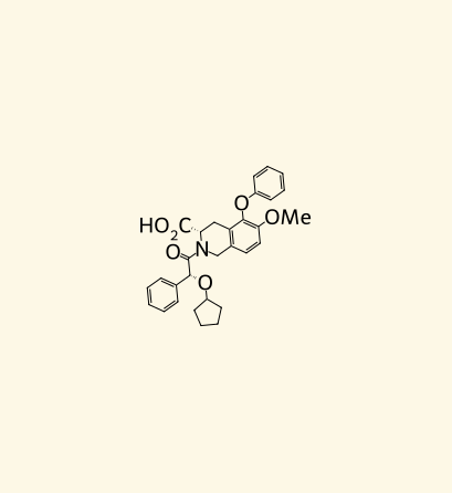 COc1ccc2c(c1Oc1ccccc1)C[C@@H](C(=O)O)N(C(=O)[C@H](OC1CCCC1)c1ccccc1)C2